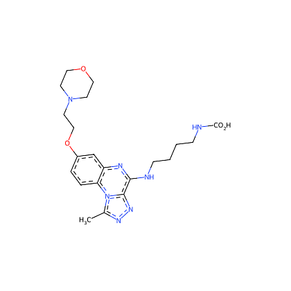 Cc1nnc2c(NCCCCNC(=O)O)nc3cc(OCCN4CCOCC4)ccc3n12